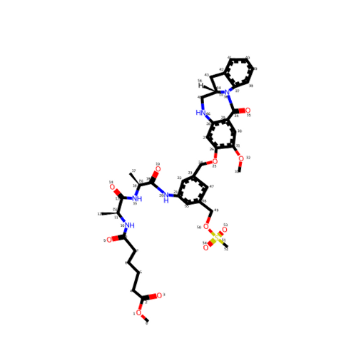 COC(=O)CCCCC(=O)N[C@@H](C)C(=O)N[C@@H](C)C(=O)Nc1cc(COc2cc3c(cc2OC)C(=O)N2c4ccccc4C[C@H]2CN3)cc(COS(C)(=O)=O)c1